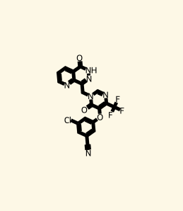 N#Cc1cc(Cl)cc(Oc2c(C(F)(F)F)ncn(Cc3n[nH]c(=O)c4cccnc34)c2=O)c1